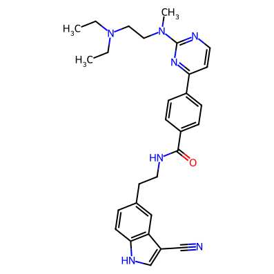 CCN(CC)CCN(C)c1nccc(-c2ccc(C(=O)NCCc3ccc4[nH]cc(C#N)c4c3)cc2)n1